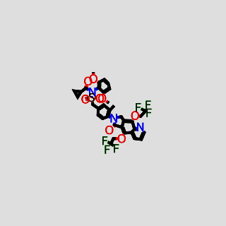 COc1cccc(OC)c1N(C(=O)C1CC1)S(=O)(=O)Cc1ccc(N2Cc3c(c(OCC(F)(F)F)c4cccnc4c3OCC(F)(F)F)C2=O)c(C)c1